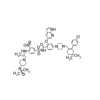 C[C@@H](CN1CCC(N=S(C)(C)=O)CC1)Nc1ccc(S(=O)(=O)NC(=O)c2ccc(N3CCN(CC4=C(c5ccc(Cl)cc5)CC(C)(C)CC4)CC3)cc2Oc2cnc3[nH]ccc3c2)cc1[N+](=O)[O-]